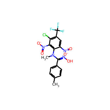 Cc1ccc(C(=NO)N(C)c2c([N+](=O)[O-])cc(C(F)(F)F)c(Cl)c2[N+](=O)[O-])cc1